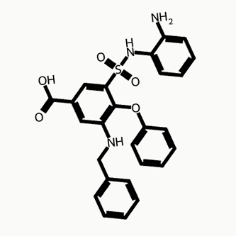 Nc1ccccc1NS(=O)(=O)c1cc(C(=O)O)cc(NCc2ccccc2)c1Oc1ccccc1